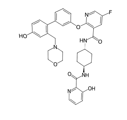 O=C(N[C@H]1CC[C@H](NC(=O)c2ncccc2O)CC1)c1cc(F)cnc1Oc1cccc(-c2ccc(O)cc2CN2CCOCC2)c1